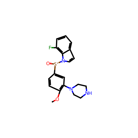 COc1ccc([S+]([O-])n2ccc3cccc(F)c32)cc1N1CCNCC1